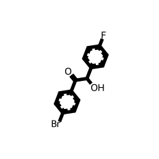 O=C(c1ccc(Br)cc1)C(O)c1ccc(F)cc1